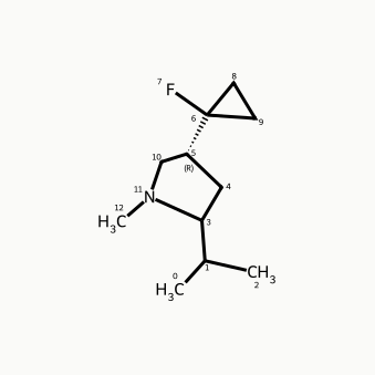 CC(C)C1C[C@@H](C2(F)CC2)CN1C